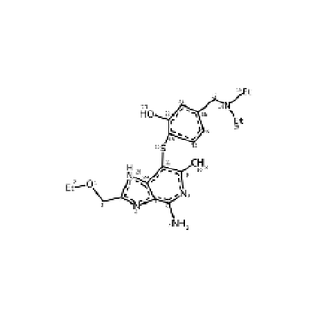 CCOCc1nc2c(N)nc(C)c(Sc3ccc(CN(CC)CC)cc3O)c2[nH]1